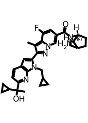 Cc1c(-c2cc3ccc(C(C)(O)C4CC4)nc3n2CC2CC2)nn2cc(C(=O)N3CC4CC[C@@H]3[C@@H]4N)cc(F)c12